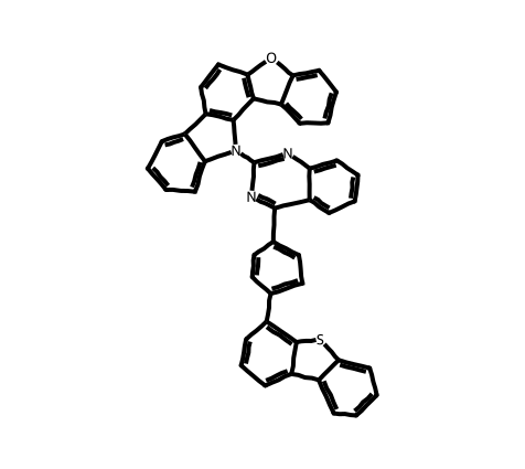 c1ccc2c(-c3ccc(-c4cccc5c4sc4ccccc45)cc3)nc(-n3c4ccccc4c4ccc5oc6ccccc6c5c43)nc2c1